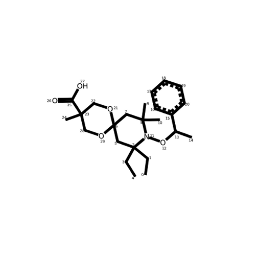 CCC1(CC)CC2(CC(C)(C)N1OC(C)c1ccccc1)OCC(C)(C(=O)O)CO2